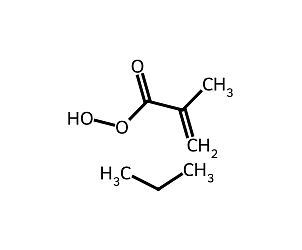 C=C(C)C(=O)OO.CCC